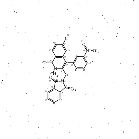 Cn1c(CN2C(=O)c3ccccc3C2=O)c(-c2cccc([N+](=O)[O-])c2)c2cc(Cl)ccc2c1=O